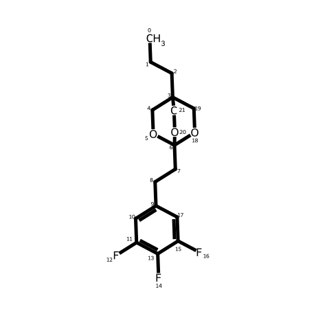 CCCC12COC(CCc3cc(F)c(F)c(F)c3)(OC1)OC2